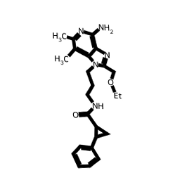 CCOCc1nc2c(N)nc(C)c(C)c2n1CCCNC(=O)C1CC1c1ccccc1